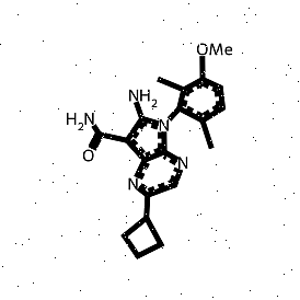 COc1ccc(C)c(-n2c(N)c(C(N)=O)c3nc(C4CCC4)cnc32)c1C